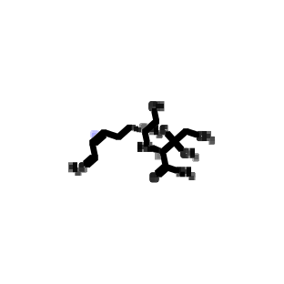 C=C/C=C\CC[C@H](CO)N[C@H](C(N)=O)C(C)(C)CC